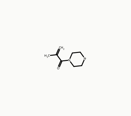 C=C(C)C(=O)N1CC[N]CC1